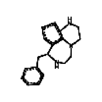 c1ccc(CC2NCCN3CCNc4cccc2c43)cc1